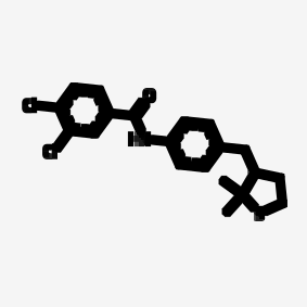 CC1(C)SCC[C]1Cc1ccc(NC(=O)c2ccc(Cl)c(Cl)c2)cc1